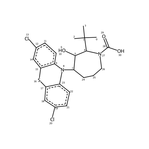 CC(C)(C)C1C(O)C(N2c3ccc(Cl)cc3Sc3cc(Cl)ccc32)CCCN1C(=O)O